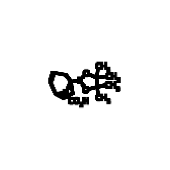 CC1(C)OB(C23CC=CC(CC2)N3C(=O)O)OC1(C)C